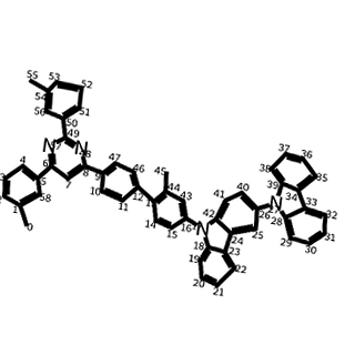 Cc1cccc(-c2cc(-c3ccc(-c4ccc(-n5c6ccccc6c6cc(-n7c8ccccc8c8ccccc87)ccc65)cc4C)cc3)nc(-c3cccc(C)c3)n2)c1